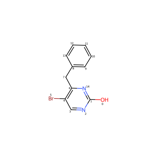 Oc1ncc(Br)c(Cc2ccccc2)n1